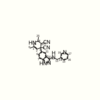 CC1=CC(C#N)(c2ccc3[nH]nc(NCc4cccnc4)c3c2)C(C#N)C(C)N1